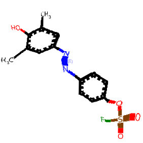 Cc1cc(/N=N/c2ccc(OS(=O)(=O)F)cc2)cc(C)c1O